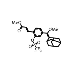 COC(=O)/C=C/c1ccc(C(OC)=C2C3CC4CC(C3)CC2C4)cc1OS(=O)(=O)C(F)(F)F